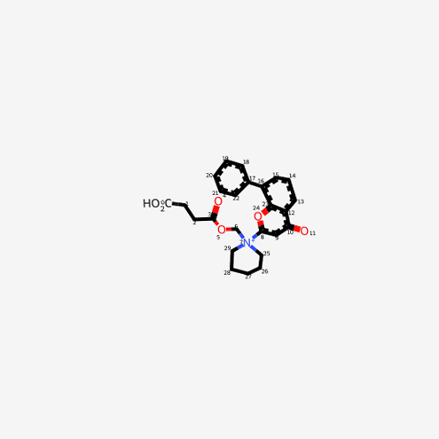 O=C(O)CCC(=O)OC[N+]1(c2cc(=O)c3cccc(-c4ccccc4)c3o2)CCCCC1